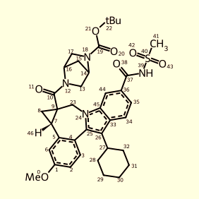 COc1ccc2c(c1)[C@@H]1CC1(C(=O)N1CC3CC1CN3C(=O)OC(C)(C)C)Cn1c-2c(C2CCCCC2)c2ccc(C(=O)NS(C)(=O)=O)cc21